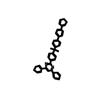 CC(C)(c1ccc(-c2ccc(C3=CCCC=C3)cc2)cc1)c1ccc(-c2nc(C3=CCCC=C3)cc(-c3ccccc3)n2)cc1